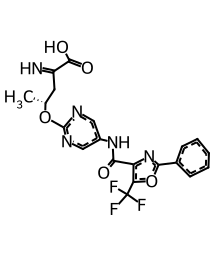 C[C@H](CC(=N)C(=O)O)Oc1ncc(NC(=O)c2nc(-c3ccccc3)oc2C(F)(F)F)cn1